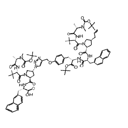 C=CC[C@H]1C[C@@H](C(=O)N[C@@H](Cc2ccc3ccccc3c2)C(=O)N[C@@H](Cc2ccc(OCc3cn([C@@H]4C[C@@H](C(=O)N[C@@H](Cc5ccc6ccccc6c5)C(=O)O)N(C(=O)[C@@H](NC(=O)[C@H](C)N(C)C(=O)OC(C)(C)C)C(C)(C)C)C4)nn3)cc2)C(=O)OC(C)(C)C)N(C(=O)[C@@H](NC(=O)[C@H](C)N(C)C(=O)OC(C)(C)C)C(C)(C)C)C1